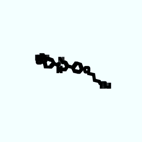 CCCCOc1ccc(-c2ncc(-c3ccc(OCCCCC(C)CC)cc3)cn2)cc1